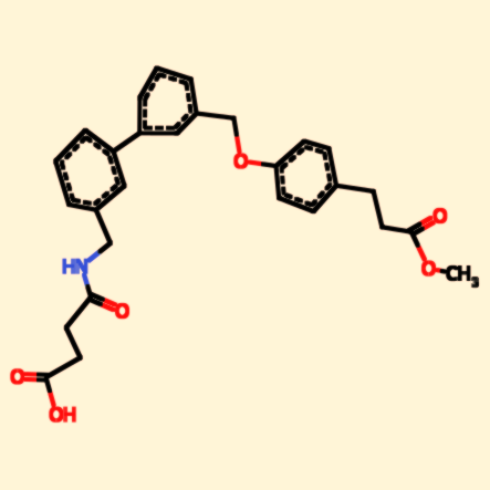 COC(=O)CCc1ccc(OCc2cccc(-c3cccc(CNC(=O)CCC(=O)O)c3)c2)cc1